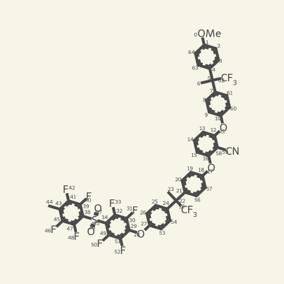 COc1ccc(C(C)(c2ccc(Oc3cccc(Oc4ccc(C(C)(c5ccc(Oc6c(F)c(F)c(S(=O)(=O)c7c(F)c(F)c(C)c(F)c7F)c(F)c6F)cc5)C(F)(F)F)cc4)c3C#N)cc2)C(F)(F)F)cc1